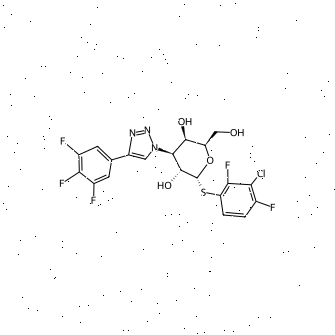 OC[C@H]1O[C@H](Sc2ccc(F)c(Cl)c2F)[C@H](O)[C@@H](n2cc(-c3cc(F)c(F)c(F)c3)nn2)[C@H]1O